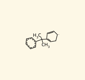 CC(C)(C1=CC[CH]C=C1)c1ccccc1